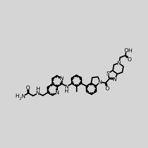 Cc1c(Nc2nccc3cc(CNCC(N)=O)cnc23)cccc1-c1cccc2c1CCN2C(=O)C1=NC2CCN(CC(=O)O)CC2S1